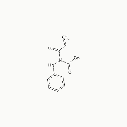 C=CC(=O)N(Nc1ccccc1)C(=O)O